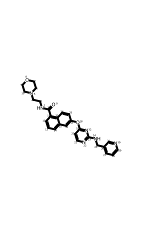 O=C(NCCN1CCOCC1)c1cccc2cc(Oc3ccnc(NCc4cccnc4)n3)ccc12